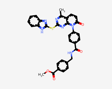 COC(=O)c1ccc(CNC(=O)c2ccc(-n3c(=O)ccc4c(C)nc(Sc5nc6ccccc6[nH]5)nc43)cc2)cc1